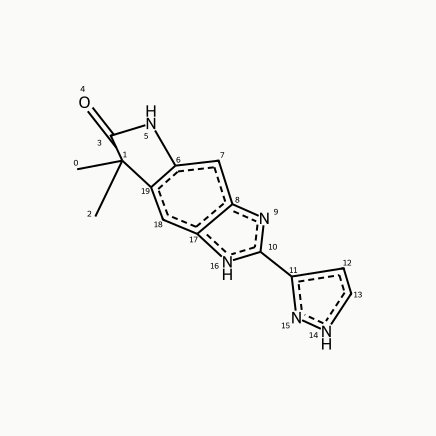 CC1(C)C(=O)Nc2cc3nc(-c4cc[nH]n4)[nH]c3cc21